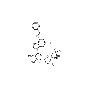 CCC(OP(=O)(O)CP(=O)(O)O)[C@]12C[C@]1(O)[C@@H](O)[C@H](n1cnc3c(NCc4ccccc4)nc(Cl)nc31)O2